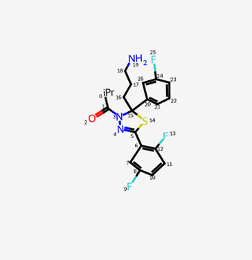 CC(C)C(=O)N1N=C(c2cc(F)ccc2F)SC1(CCCN)c1cccc(F)c1